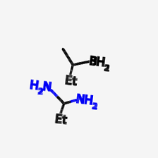 BC(C)CC.CCC(N)N